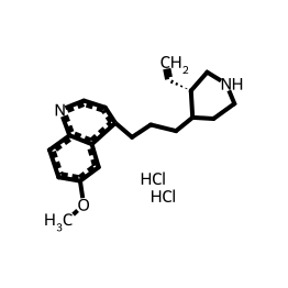 C=C[C@@H]1CNCCC1CCCc1ccnc2ccc(OC)cc12.Cl.Cl